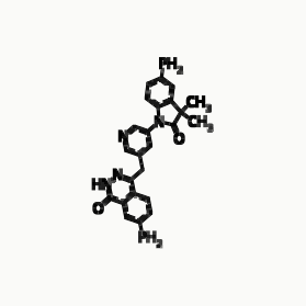 CC1(C)C(=O)N(c2cncc(Cc3n[nH]c(=O)c4cc(P)ccc34)c2)c2ccc(P)cc21